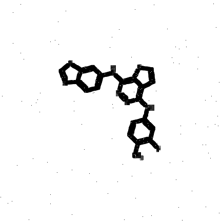 Cc1ccc(Nc2nnc(Nc3ccc4ncsc4c3)c3sccc23)cc1F